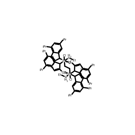 CC[SiH2][Zr]([Cl])([Cl])([CH2][CH2][Zr]([Cl])([Cl])([SiH2]CC)([CH]1C(C)=Cc2c(C(C)C)cc(C(C)C)cc21)[CH]1C(C)=Cc2c(C(C)C)cc(C(C)C)cc21)([CH]1C(C)=Cc2c(C(C)C)cc(C(C)C)cc21)[CH]1C(C)=Cc2c(C(C)C)cc(C(C)C)cc21